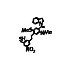 C=C(c1cc(SC)c(CCc2cc(CS)cc([N+](=O)[O-])c2)cc1NC)N1CCc2ccccc21